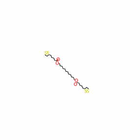 O=C(CCCCC1CCSS1)OCCCCCCCCCCCCOC(=O)CCCCC1CCSS1